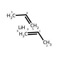 C=CC.[CH2]C=C.[LiH]